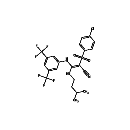 CC(C)CCNC(Nc1cc(C(F)(F)F)cc(C(F)(F)F)c1)=C(C#N)S(=O)(=O)c1ccc(Cl)cc1